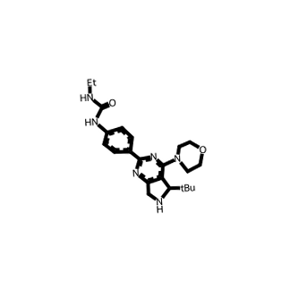 CCNC(=O)Nc1ccc(-c2nc3c(c(N4CCOCC4)n2)C(C(C)(C)C)NC3)cc1